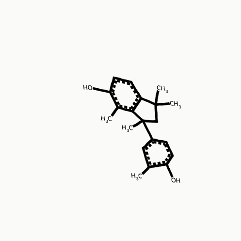 Cc1cc(C2(C)CC(C)(C)c3ccc(O)c(C)c32)ccc1O